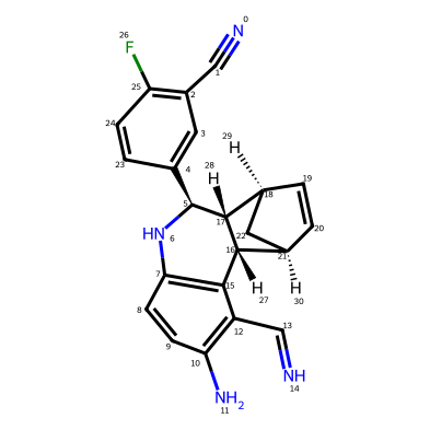 N#Cc1cc([C@@H]2Nc3ccc(N)c(C=N)c3[C@@H]3[C@H]2[C@H]2C=C[C@@H]3C2)ccc1F